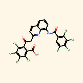 O=C(Nc1cccc2ccc(CC(=O)c3c(Cl)c(Cl)c(Cl)c(Cl)c3C(=O)O)nc12)c1cc(Cl)c(Cl)c(Cl)c1Cl